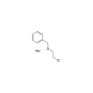 [Na+].[O-]CCOCc1ccccc1